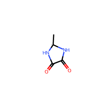 C[C]1NC(=O)C(=O)N1